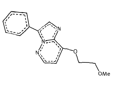 COCCOc1ccnn2c(-c3ccccc3)cnc12